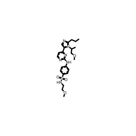 CCCc1ncc(-c2ccnc(Nc3ccc(S(=O)(=O)NCCOC)cc3)n2)n1C(C)COC